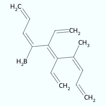 BC(=C/C=C)/C(C=C)=C(C=C)/C(C)=C\C=C